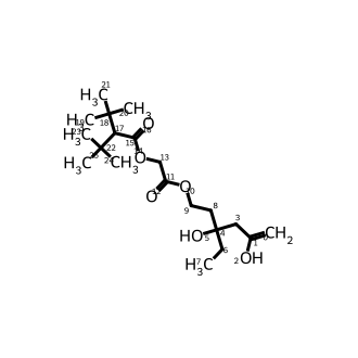 C=C(O)CC(O)(CC)CCOC(=O)COC(=O)C(C(C)(C)C)C(C)(C)C